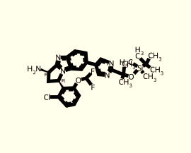 CC(C)(O[Si](C)(C)C(C)(C)C)c1ncc(-c2ccc3nc4n(c3c2)[C@@H](c2c(Cl)cccc2OC(F)F)C[C@H]4N)cn1